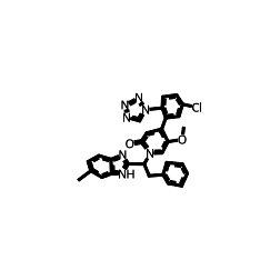 COc1cn(C(Cc2ccccc2)c2nc3ccc(C)cc3[nH]2)c(=O)cc1-c1cc(Cl)ccc1-n1cnnn1